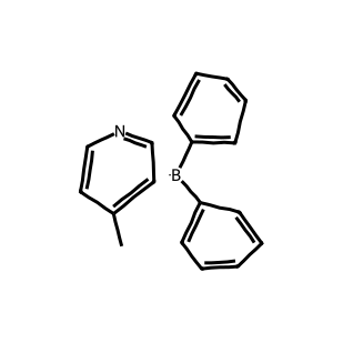 Cc1ccncc1.[B](c1ccccc1)c1ccccc1